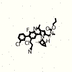 CCCOC(=O)N(C)[C@H](C)c1cc2c(C)nc3c(F)c(-c4cccc(Cl)c4Cl)c(CCC#N)cc3c2n1[C@@H]1[C@@H](C)C2C[C@@H]21